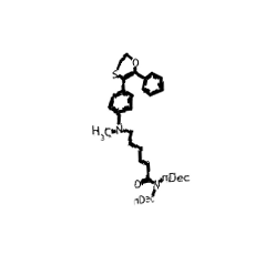 CCCCCCCCCCN(CCCCCCCCCC)C(=O)CCCCCN(C)c1ccc(C2=C(c3ccccc3)OCCS2)cc1